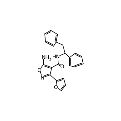 Nc1onc(-c2ccco2)c1C(=O)NC(Cc1ccccc1)c1ccccc1